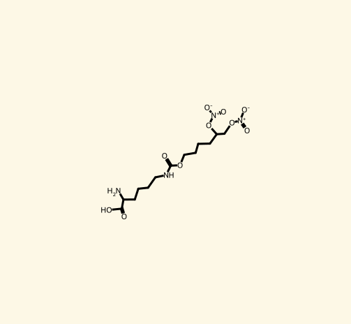 NC(CCCCNC(=O)OCCCCC(CO[N+](=O)[O-])O[N+](=O)[O-])C(=O)O